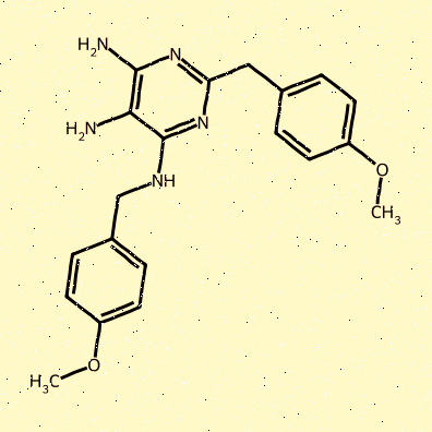 COc1ccc(CNc2nc(Cc3ccc(OC)cc3)nc(N)c2N)cc1